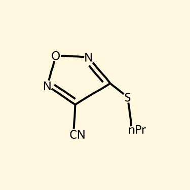 CCCSc1nonc1C#N